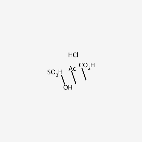 CC(=O)O.CC(C)=O.Cl.O=S(=O)(O)O